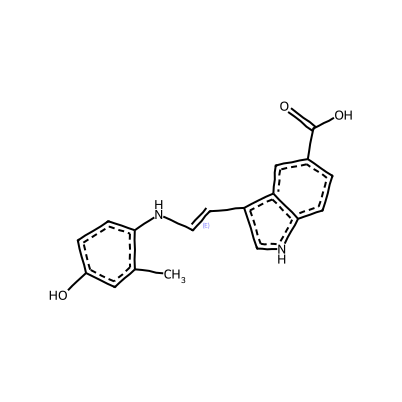 Cc1cc(O)ccc1N/C=C/c1c[nH]c2ccc(C(=O)O)cc12